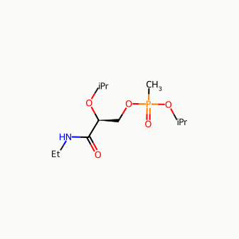 CCNC(=O)[C@H](COP(C)(=O)OC(C)C)OC(C)C